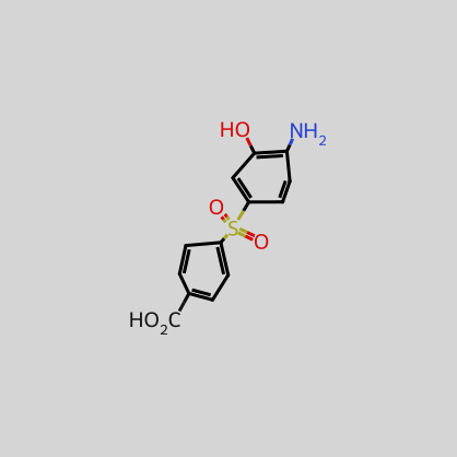 Nc1ccc(S(=O)(=O)c2ccc(C(=O)O)cc2)cc1O